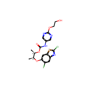 C[C@H](Oc1cc2sc(Cl)nc2cc1F)[C@@H](C)OC(=O)Nc1cnc(OCCO)nc1